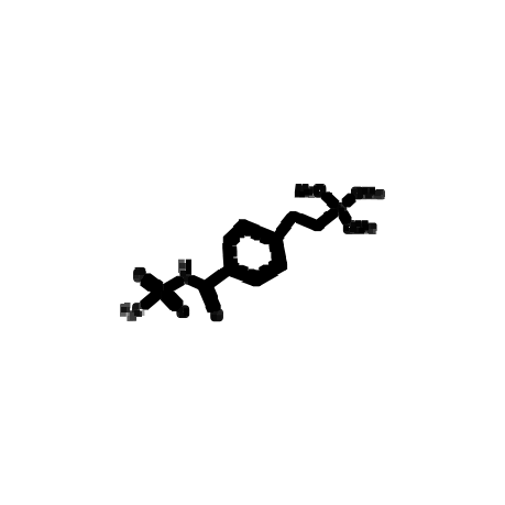 CO[Si](CCc1ccc(C(=O)NS(=O)(=O)C(F)(F)F)cc1)(OC)OC